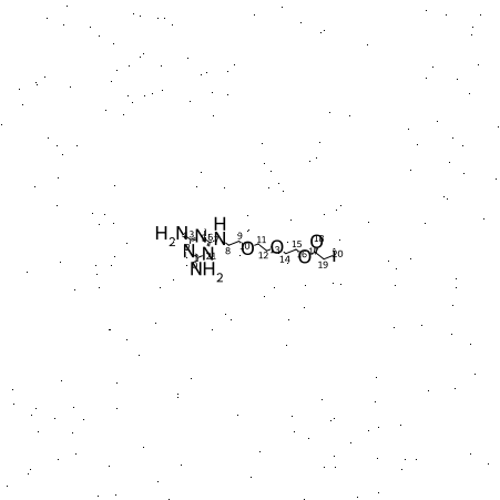 Nc1nc(N)nc(NCCOCCOCCOC(=O)CI)n1